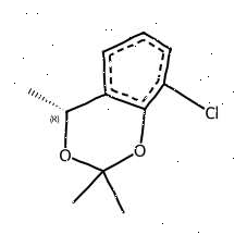 C[C@H]1OC(C)(C)Oc2c(Cl)cccc21